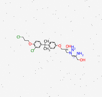 CC(C)(c1ccc(OC[C@H](O)CN(N)/C=C(\N)CO)cc1)c1ccc(OCCCCl)c(Cl)c1